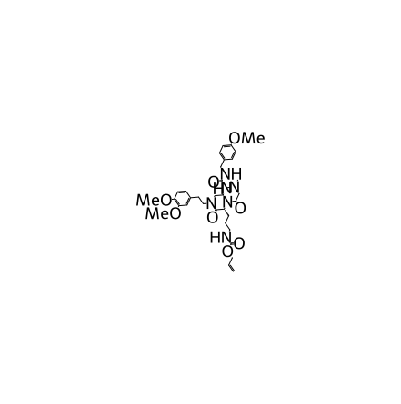 C=CCOC(=O)NCCC[C@H]1C(=O)N(CCc2ccc(OC)c(OC)c2)C[C@H]2N1C(=O)CN(C)N2C(=O)NCc1ccc(OC)cc1